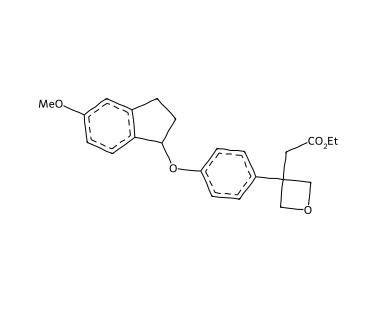 CCOC(=O)CC1(c2ccc(OC3CCc4cc(OC)ccc43)cc2)COC1